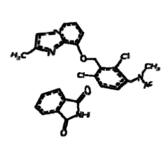 CC(=O)N(C)c1ccc(Cl)c(COc2cccn3cc(C)nc23)c1Cl.O=C1NC(=O)c2ccccc21